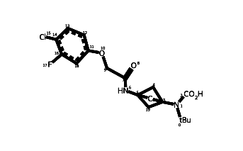 CC(C)(C)N(C(=O)O)C12CC(NC(=O)COc3ccc(Cl)c(F)c3)(C1)C2